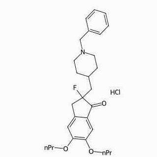 CCCOc1cc2c(cc1OCCC)C(=O)C(F)(CC1CCN(Cc3ccccc3)CC1)C2.Cl